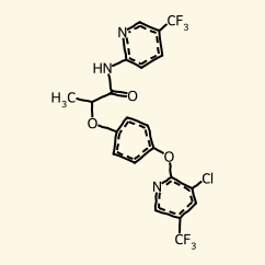 CC(Oc1ccc(Oc2ncc(C(F)(F)F)cc2Cl)cc1)C(=O)Nc1ccc(C(F)(F)F)cn1